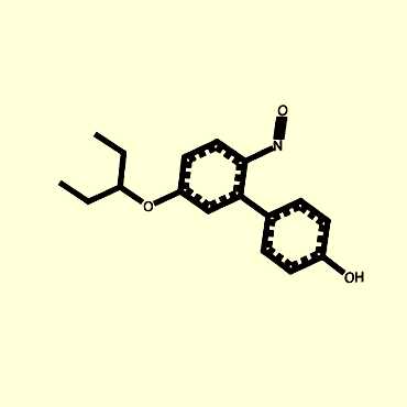 CCC(CC)Oc1ccc(N=O)c(-c2ccc(O)cc2)c1